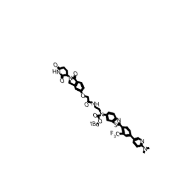 CN(C)c1ccc(-c2ccc(-c3nc4ccc(N(CCNC(=O)COc5ccc6c(c5)CN(C5CCC(=O)NC5=O)C6=O)C(=O)OC(C)(C)C)cc4s3)c(C(F)(F)F)c2)cn1